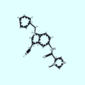 Cn1cncc1C(=O)Nc1ccc2c(c1)c(C#N)cn2Cc1ccccc1